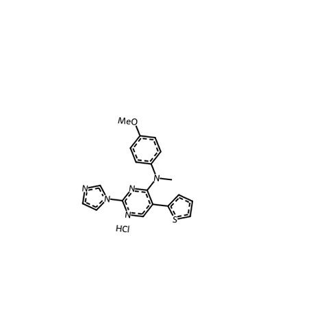 COc1ccc(N(C)c2nc(-n3ccnc3)ncc2-c2cccs2)cc1.Cl